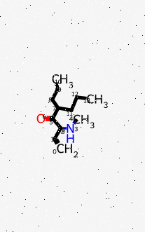 C=C[C@H](NC)C(=O)C(CCC)CCC